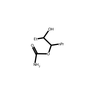 CCCC(OC(N)=O)C(O)CC